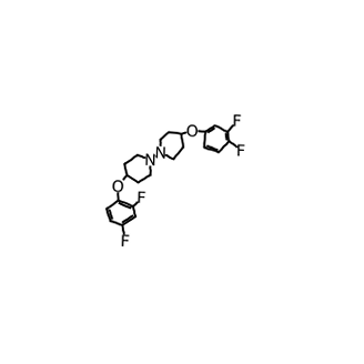 Fc1ccc(OC2CCN(N3CCC(Oc4ccc(F)c(F)c4)CC3)CC2)c(F)c1